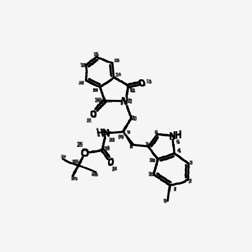 Cc1ccc2[nH]cc(C[C@H](CN3C(=O)c4ccccc4C3=O)NC(=O)OC(C)(C)C)c2c1